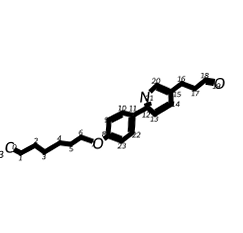 CCCCCCCOc1ccc(-c2ccc(CCC=O)cn2)cc1